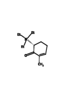 CC[Si](CC)(CC)[C@@H]1CCC=C(C)C1=O